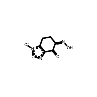 O=C1C(=NO)CCc2c1no[n+]2[O-]